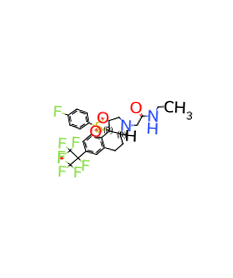 CCNC(=O)CN1CC[C@@]2(S(=O)(=O)c3ccc(F)cc3)c3ccc(C(F)(C(F)(F)F)C(F)(F)F)cc3CC[C@@H]12